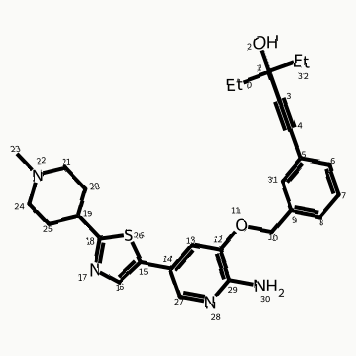 CCC(O)(C#Cc1cccc(COc2cc(-c3cnc(C4CCN(C)CC4)s3)cnc2N)c1)CC